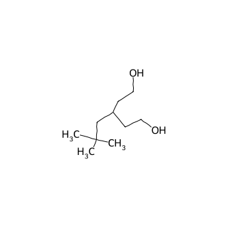 CC(C)(C)CC(CCO)CCO